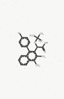 Cc1c(C(OC(C)(C)C)C(=O)O)c(-c2ccc(Cl)cc2)c2ccccc2c1C